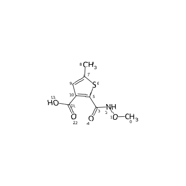 CONC(=O)c1sc(C)cc1C(=O)O